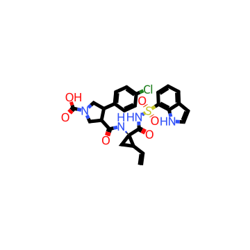 C=CC1C[C@@]1(NC(=O)C1CN(C(=O)O)CC1c1ccc(Cl)cc1)C(=O)NS(=O)(=O)c1cccc2cc[nH]c12